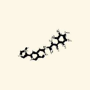 [2H]/C(C(=O)Nc1cc2cc(-c3cncn3C)ncc2cn1)=C(/[2H])c1c([2H])c([2H])c([2H])c([2H])c1[2H]